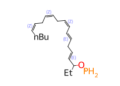 CCCC/C=C\C/C=C\C/C=C\C=C\C/C=C/C(CC)OP